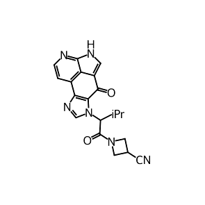 CC(C)C(C(=O)N1CC(C#N)C1)n1cnc2c1C(=O)c1c[nH]c3nccc-2c13